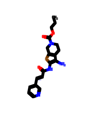 CCCOC(=O)N1CCc2c(sc(NC(=O)/C=C/c3cccnc3)c2N)C1